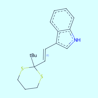 CC(C)(C)C1(/C=C/c2c[nH]c3ccccc23)SCCCS1